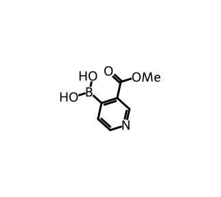 COC(=O)c1cnccc1B(O)O